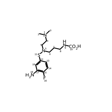 CN(C)CCN(CCCNC(=O)O)Sc1ccc(F)c(N)c1